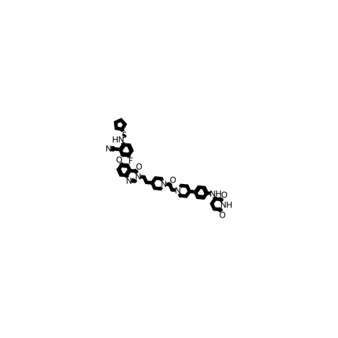 N#Cc1c(NSC2CCCC2)ccc(F)c1Oc1ccc2ncn(CCC3CCN(C(=O)CN4CCC(c5ccc(NC6CCC(=O)NC6=O)cc5)CC4)CC3)c(=O)c2c1